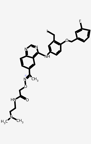 C/C(=N\OCC(=O)NCCN(C)C)c1ccc2ncnc(Nc3ccc(OCc4cccc(F)c4)c(CI)c3)c2c1